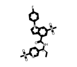 CC[C@H](NC(=O)c1cc(S(C)(=O)=O)cc2c1ccn2-c1ccc(F)cc1)c1ccc(S(C)(=O)=O)nc1